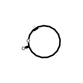 O=C1CCCCCCCCCCCC/C=C\CO1